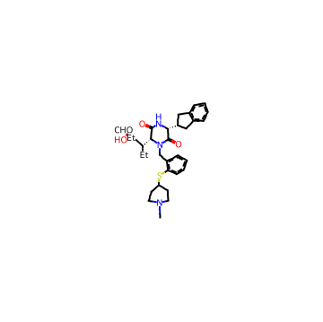 CCC(CC)[C@@H]1C(=O)N[C@H](C2Cc3ccccc3C2)C(=O)N1Cc1ccccc1SC1CCN(C)CC1.O=CO